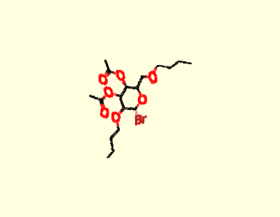 CCCCOCC1O[C@H](Br)C(OCCCC)C(OC(C)=O)[C@H]1OC(C)=O